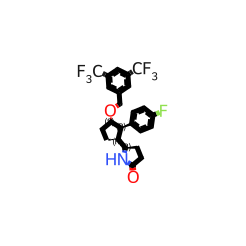 O=C1CC[C@H]([C@@H]2CC[C@H](OCc3cc(C(F)(F)F)cc(C(F)(F)F)c3)[C@H]2c2ccc(F)cc2)N1